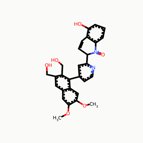 COc1cc2cc(CO)c(CO)c(-c3ccnc(C4C=Cc5c(O)cccc5[N+]4=O)c3)c2cc1OC